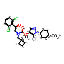 CC1(CN(CC(=O)c2c(Cl)cccc2Cl)C(=O)Oc2cnn([C@H]3CC[C@H](C(=O)O)CC3)c2C(F)(F)F)CCC1